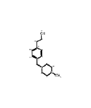 CN1CCN(Cc2ccc(CCO)cc2)CC1